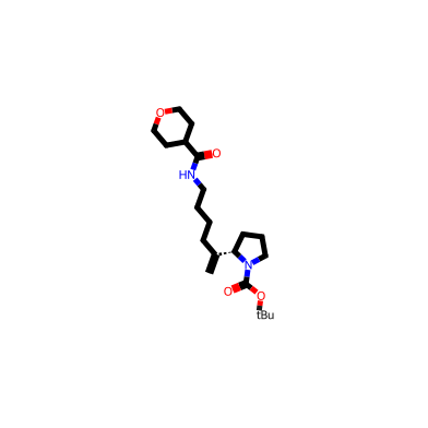 C=C(CCCCNC(=O)C1CCOCC1)[C@@H]1CCCN1C(=O)OC(C)(C)C